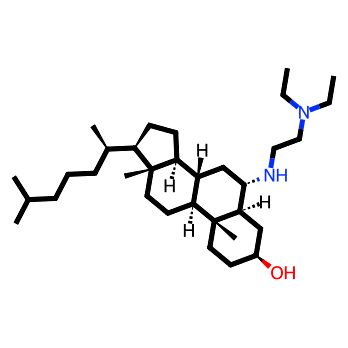 CCN(CC)CCN[C@H]1C[C@@H]2[C@H](CC[C@]3(C)[C@@H]([C@H](C)CCCC(C)C)CC[C@@H]23)[C@@]2(C)CC[C@H](O)C[C@H]12